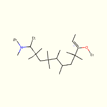 C/C=C(\OCC)C(C)(C)CC(C)C(C)C(C)(C)CC(C)(C)C(CC)N(C)C(C)C